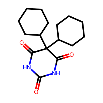 O=C1NC(=O)C(C2CCCCC2)(C2CCCCC2)C(=O)N1